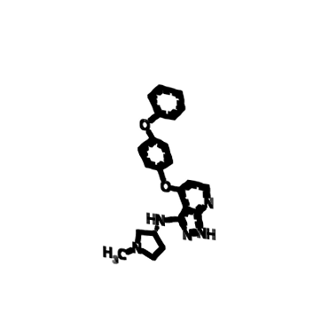 CN1CC[C@@H](Nc2n[nH]c3nccc(Oc4ccc(Oc5ccccc5)cc4)c23)C1